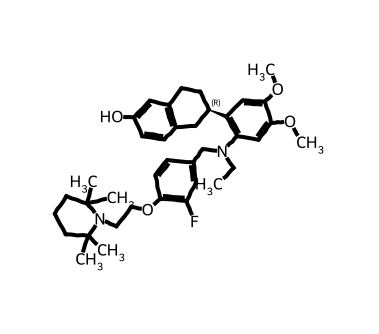 CCN(Cc1ccc(OCCN2C(C)(C)CCCC2(C)C)c(F)c1)c1cc(OC)c(OC)cc1[C@@H]1CCc2cc(O)ccc2C1